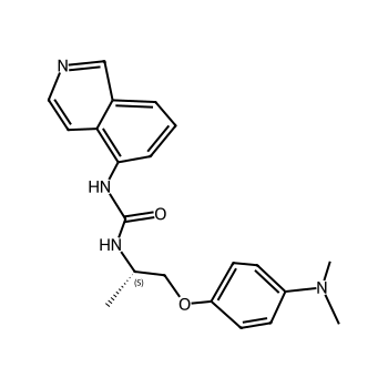 C[C@@H](COc1ccc(N(C)C)cc1)NC(=O)Nc1cccc2cnccc12